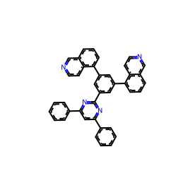 c1ccc(-c2cc(-c3ccccc3)nc(-c3cc(-c4cccc5cnccc45)cc(-c4cccc5cnccc45)c3)n2)cc1